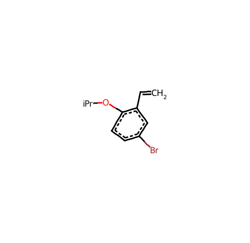 C=Cc1cc(Br)ccc1OC(C)C